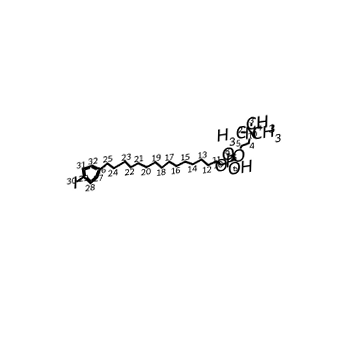 C[N+](C)(C)CCOP(=O)(O)OCCCCCCCCCCCCCCCc1ccc(I)cc1